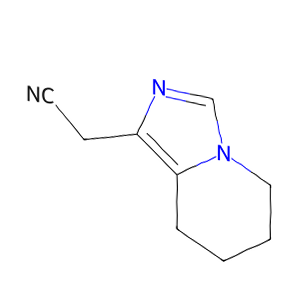 N#CCc1ncn2c1CCCC2